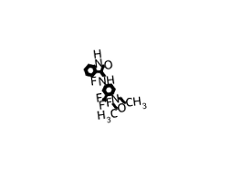 CC1CN(c2ccc(N/C=C3/C(=O)Nc4cccc(F)c43)cc2C(F)(F)F)CC(C)O1